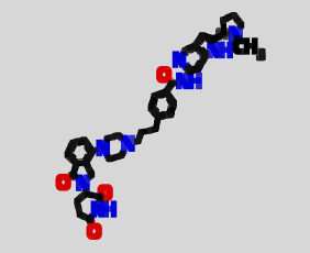 CN1CCC[C@@H]1c1cc2cnc(NC(=O)c3ccc(CCCN4CCN(c5cccc6c5CN(C5CCC(=O)NC5=O)C6=O)CC4)cc3)cc2[nH]1